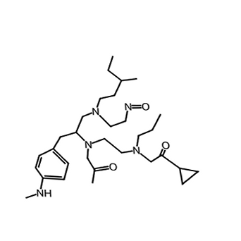 CCCN(CCN(CC(C)=O)C(Cc1ccc(NC)cc1)CN(CCN=O)CCC(C)CC)CC(=O)C1CC1